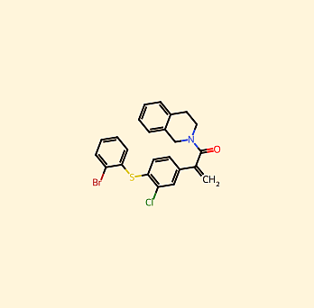 C=C(C(=O)N1CCc2ccccc2C1)c1ccc(Sc2ccccc2Br)c(Cl)c1